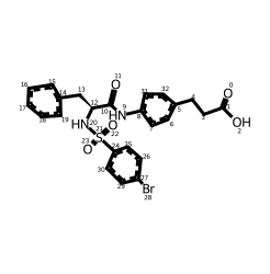 O=C(O)CCc1ccc(NC(=O)[C@H](Cc2ccccc2)NS(=O)(=O)c2ccc(Br)cc2)cc1